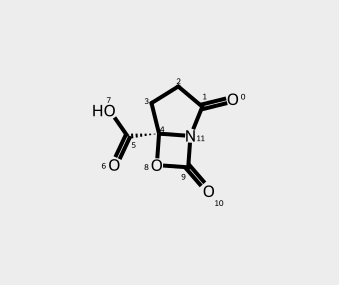 O=C1CC[C@]2(C(=O)O)OC(=O)N12